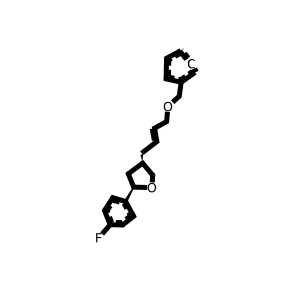 Fc1ccc([C@H]2C[C@H](CC=CCOCc3ccccc3)CO2)cc1